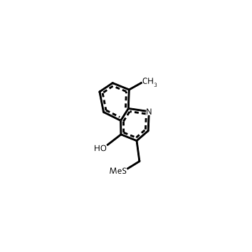 CSCc1cnc2c(C)cccc2c1O